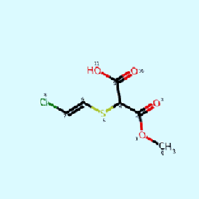 COC(=O)C(SC=CCl)C(=O)O